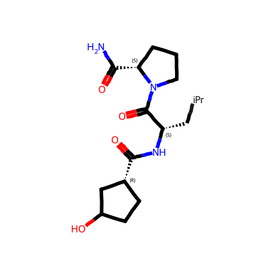 CC(C)C[C@H](NC(=O)[C@@H]1CCC(O)C1)C(=O)N1CCC[C@H]1C(N)=O